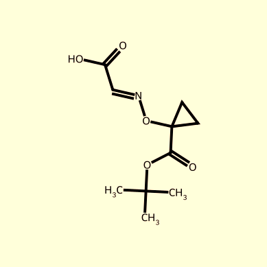 CC(C)(C)OC(=O)C1(ON=CC(=O)O)CC1